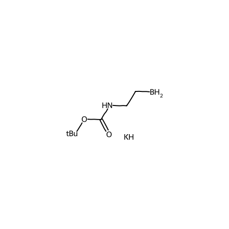 BCCNC(=O)OC(C)(C)C.[KH]